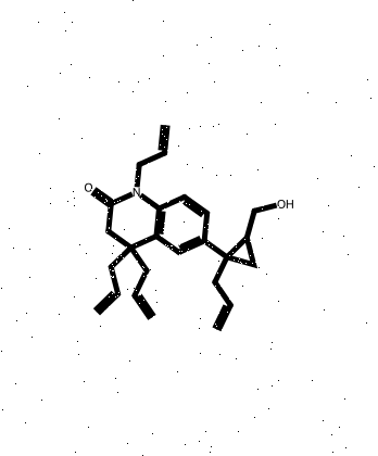 C=CCN1C(=O)CC(CC=C)(CC=C)c2cc(C3(CC=C)CC3CO)ccc21